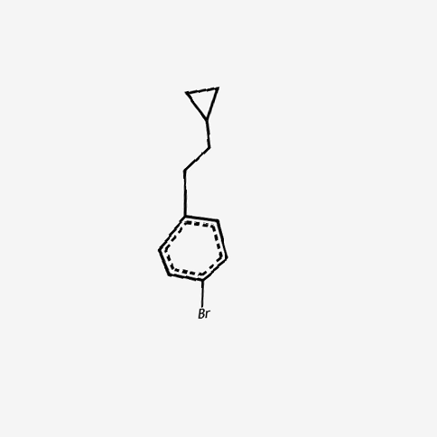 Brc1ccc(CCC2CC2)cc1